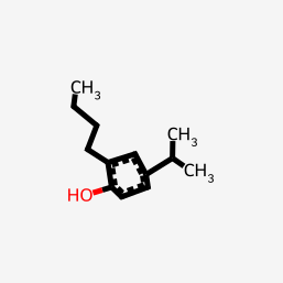 CCCCc1cc(C(C)C)ccc1O